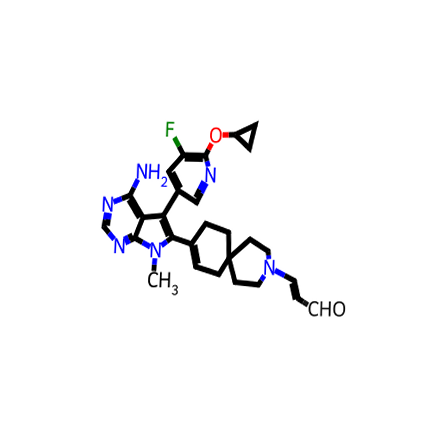 Cn1c(C2=CCC3(CC2)CCN(C=CC=O)CC3)c(-c2cnc(OC3CC3)c(F)c2)c2c(N)ncnc21